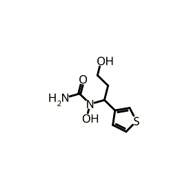 NC(=O)N(O)C(CCO)c1ccsc1